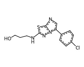 OCCCNc1nn2c(-c3ccc(Cl)cc3)cnc2s1